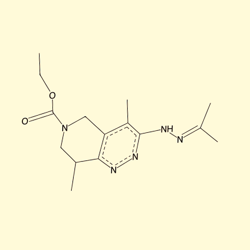 CCOC(=O)N1Cc2c(nnc(NN=C(C)C)c2C)C(C)C1